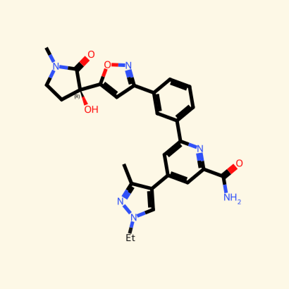 CCn1cc(-c2cc(C(N)=O)nc(-c3cccc(-c4cc([C@]5(O)CCN(C)C5=O)on4)c3)c2)c(C)n1